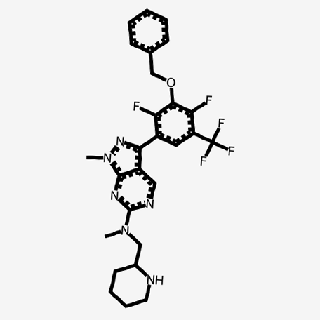 CN(CC1CCCCN1)c1ncc2c(-c3cc(C(F)(F)F)c(F)c(OCc4ccccc4)c3F)nn(C)c2n1